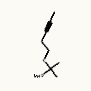 CC#CCCOC(C)(C)OC